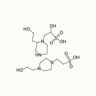 O=S(=O)(O)C(O)CN1CCNCC1CCO.O=S(=O)(O)CCN1CCN(CCO)CC1